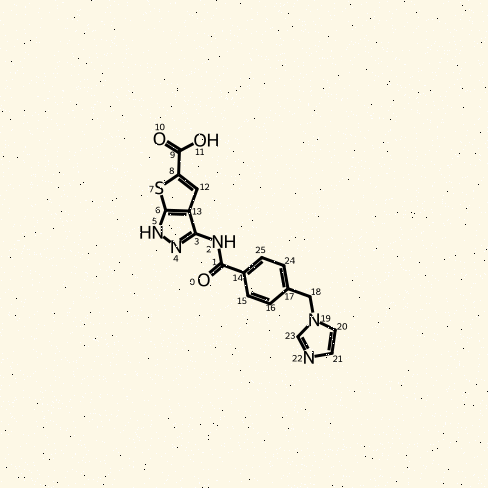 O=C(Nc1n[nH]c2sc(C(=O)O)cc12)c1ccc(Cn2ccnc2)cc1